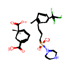 C[C@@]1(C(=O)O)C=CC=C(C(=O)O)C1.Cc1ccc(C(F)(F)F)cc1C=CCS(=O)(=O)N1CCNCC1